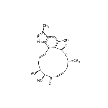 C[C@H]1C/C=C\C(=O)[C@@H](O)[C@@H](O)C/C=C/c2c(c(O)cc3c2ncn3C)C(=O)O1